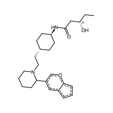 CC[C@H](O)CC(=O)N[C@H]1CC[C@H](CCN2CCCCC2c2coc3cccc-3c2)CC1